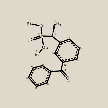 CCOP(=O)(OCC)[C@@H](C)c1cccc(C(=O)c2ccccc2)c1